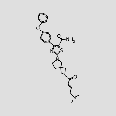 CN(C)C/C=C/C(=O)N1CC2(CCN(c3nc(-c4ccc(Oc5ccccc5)cc4)c(C(N)=O)s3)C2)C1